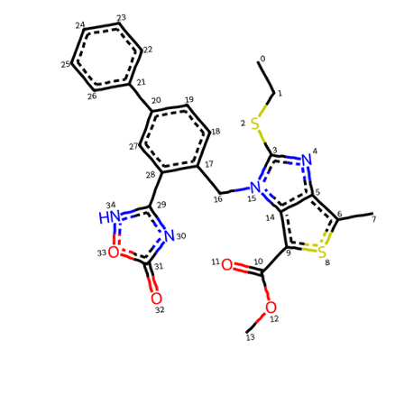 CCSc1nc2c(C)sc(C(=O)OC)c2n1Cc1ccc(-c2ccccc2)cc1-c1nc(=O)o[nH]1